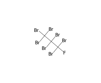 FC(Br)(Br)C(Br)(Br)C(Br)(Br)Br